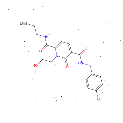 CSCCNC(=O)c1ccc(C(=O)NCc2ccc(Cl)cc2)c(=O)n1CCO